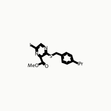 COC(=O)c1nc(I)cnc1SCc1ccc(C(C)C)cc1